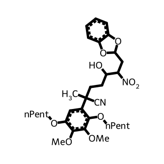 CCCCCOc1cc(C(C)(C#N)CCC(O)C(CC2Oc3ccccc3O2)[N+](=O)[O-])c(OCCCCC)c(OC)c1OC